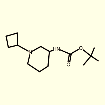 CC(C)(C)OC(=O)NC1CCCN(C2CCC2)C1